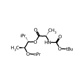 CCCO[C@@H](C)[C@@H](OC(=O)[C@H](C)NC(=O)OC(C)(C)C)C(C)C